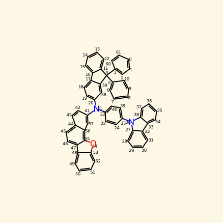 c1ccc(C2(c3ccccc3)c3ccccc3-c3ccc(N(c4ccc(-n5c6ccccc6c6ccccc65)cc4)c4ccc5ccc6c7ccccc7oc6c5c4)cc32)cc1